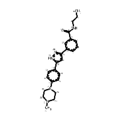 CCCNC(=O)c1cccc(-c2cc(-c3ccc(N4CCN(C)CC4)cc3)[nH]n2)c1